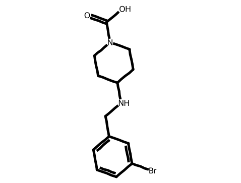 O=C(O)N1CCC(NCc2cccc(Br)c2)CC1